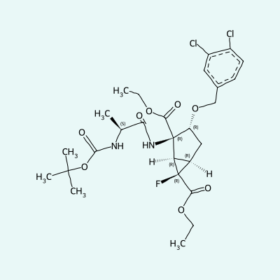 CCOC(=O)[C@@]1(F)[C@@H]2C[C@@H](OCc3ccc(Cl)c(Cl)c3)[C@@](NC(=O)[C@H](C)NC(=O)OC(C)(C)C)(C(=O)OCC)[C@@H]21